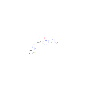 Cc1c(C(=O)N2CCN(c3ccccc3F)CC2)sc2ncn(CC(=O)NC3CC3)c(=O)c12